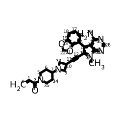 C=CC(=O)N1CCC(N2CC(C#Cc3c(-c4cccc5c4OCO5)c4c(N)ncnc4n3C)C2)CC1